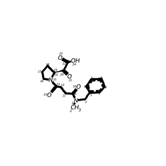 CN(Cc1ccccc1)C(=O)CCC(=O)N1CCC[C@H]1C(=O)C(=O)O